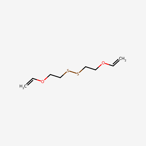 C=COCCSSCCOC=C